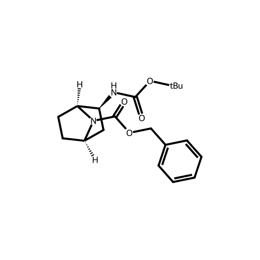 CC(C)(C)OC(=O)N[C@H]1C[C@H]2CC[C@@H]1N2C(=O)OCc1ccccc1